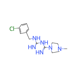 CN1CCN(C(=N)NC(=N)NCc2cccc(Cl)c2)CC1